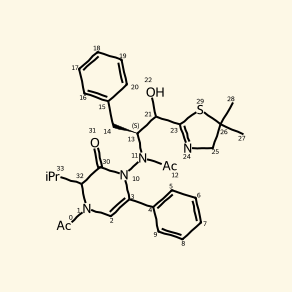 CC(=O)N1C=C(c2ccccc2)N(N(C(C)=O)[C@@H](Cc2ccccc2)C(O)C2=NCC(C)(C)S2)C(=O)C1C(C)C